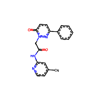 N#Cc1ccnc(NC(=O)Cn2nc(-c3ccccc3)ccc2=O)c1